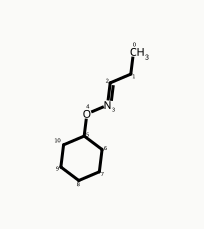 CCC=NOC1CCCCC1